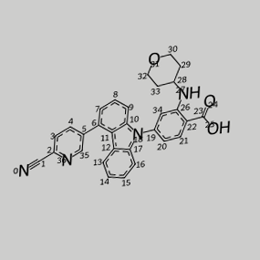 N#Cc1ccc(-c2cccc3c2c2ccccc2n3-c2ccc(C(=O)O)c(NC3CCOCC3)c2)cn1